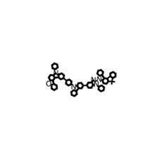 CC1(C)c2ccccc2-c2c1ccc1c2c2ccccc2n1-c1nc2cc(-c3ccc4c(c3)c3ccccc3n4-c3ccc(-c4ccc5c(c4)c4c6c(ccc4n5-c4ccccc4)oc4ccccc46)cc3)ccc2n1-c1ccccc1